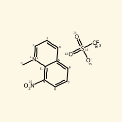 C[n+]1cccc2cccc([N+](=O)[O-])c21.O=S(=O)([O-])C(F)(F)F